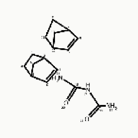 C1=CC2CCC1C2.C1=CC2CCC1C2.NC(=O)NC(N)=O